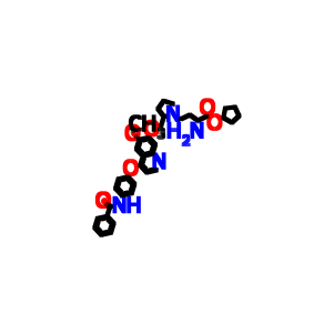 COc1cc2c(Oc3ccc(NC(=O)c4ccccc4)cc3)ccnc2cc1OCC1CCCN1CCC(N)C(=O)OC1CCCC1